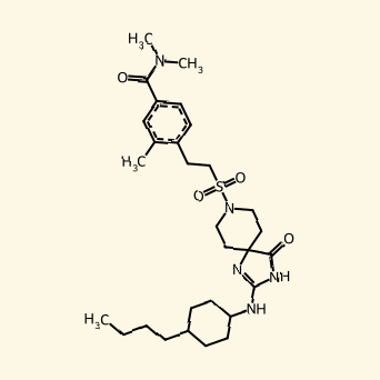 CCCCC1CCC(NC2=NC3(CCN(S(=O)(=O)CCc4ccc(C(=O)N(C)C)cc4C)CC3)C(=O)N2)CC1